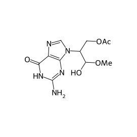 COC(O)C(COC(C)=O)n1cnc2c(=O)[nH]c(N)nc21